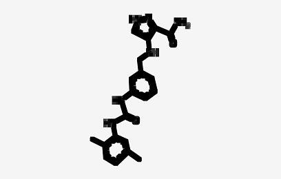 Cc1ccc(C)c(NC(=O)Nc2cccc(CNc3c[nH]nc3C(N)=O)c2)c1